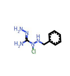 NN=C(N)N(Cl)NCc1ccccc1